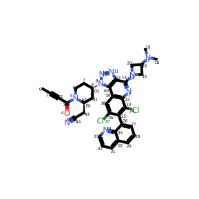 CC#CC(=O)N1CC[C@H](n2nnc3c(N4CC(N(C)C)C4)nc4c(Cl)c(-c5cccc6cccnc56)c(Cl)cc4c32)C[C@H]1CC#N